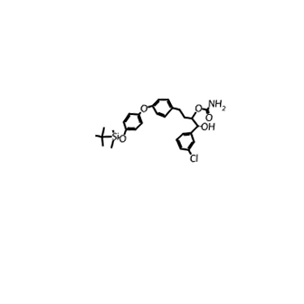 CC(C)(C)[Si](C)(C)Oc1ccc(Oc2ccc(CCC(OC(N)=O)[C@H](O)c3cccc(Cl)c3)cc2)cc1